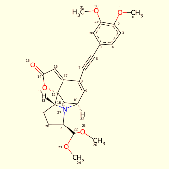 COc1ccc(C#CC2=C[C@@H]3C[C@@]4(OC(=O)C=C24)[C@H]2CC[C@H](C(OC)OC)N32)cc1OC